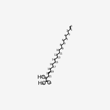 C=CCCCCCCCCCCCCCCCCCC=CCC(O)C(=O)O